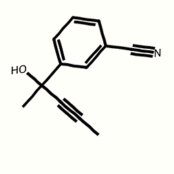 CC#CC(C)(O)c1cccc(C#N)c1